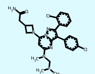 CN(CP(C)C)c1cc(N2CC(CC(N)=O)C2)n2nc(-c3ccccc3Cl)c(-c3ccc(Cl)cc3)c2n1